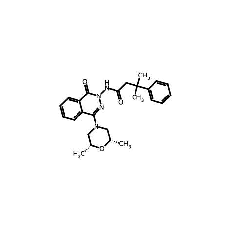 C[C@@H]1CN(c2nn(NC(=O)CC(C)(C)c3ccccc3)c(=O)c3ccccc23)C[C@H](C)O1